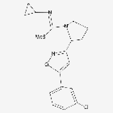 CS/C(=N\C1CC1)N1CCCC1c1cc(-c2cccc(Cl)c2)on1